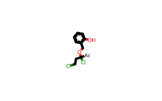 CC(=O)C(Cl)(CCCl)OCc1ccccc1O